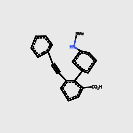 CSNc1cccc(-c2c(C#Cc3ccccc3)cccc2C(=O)O)c1